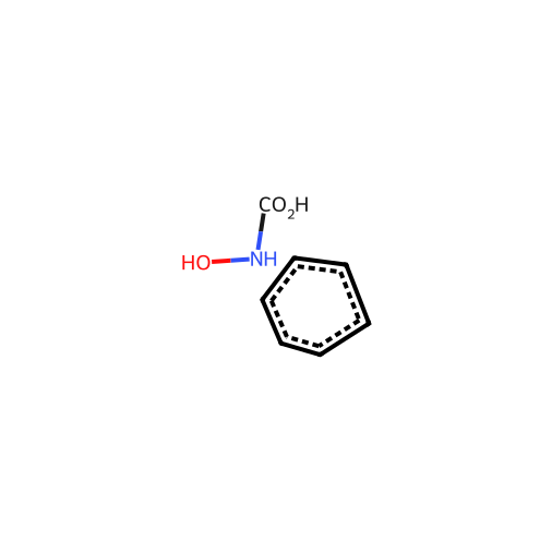 O=C(O)NO.c1ccccc1